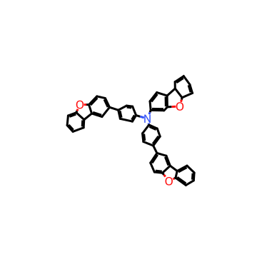 C1=CC2Oc3cc(N(c4ccc(-c5ccc6oc7ccccc7c6c5)cc4)c4ccc(-c5ccc6oc7ccccc7c6c5)cc4)ccc3C2C=C1